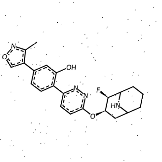 Cc1nocc1-c1ccc(-c2ccc(O[C@@H]3CC4CCCC(N4)[C@@H]3F)nn2)c(O)c1